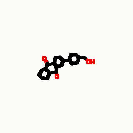 O=C1c2ccccc2C(=O)c2cc(-c3ccc(CO)cc3)ccc21